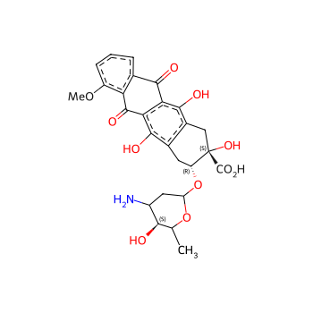 COc1cccc2c1C(=O)c1c(O)c3c(c(O)c1C2=O)C[C@@](O)(C(=O)O)[C@H](OC1CC(N)[C@H](O)C(C)O1)C3